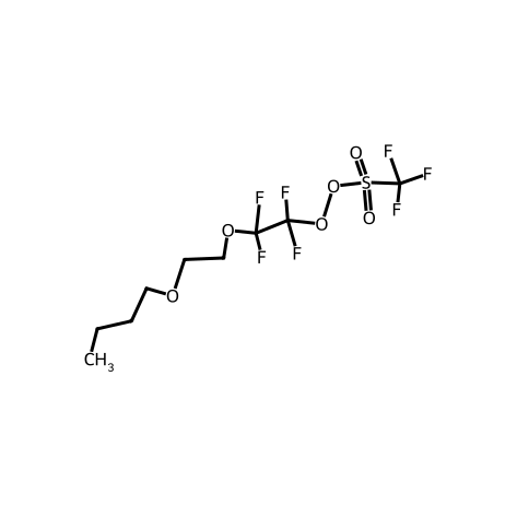 CCCCOCCOC(F)(F)C(F)(F)OOS(=O)(=O)C(F)(F)F